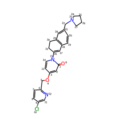 O=c1cc(OCc2ccc(Cl)cn2)ccn1C1=Cc2ccc(CN3CCCC3)cc2CC1